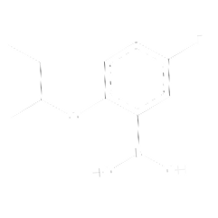 CCC(C)Oc1ccc(F)cc1B(O)O